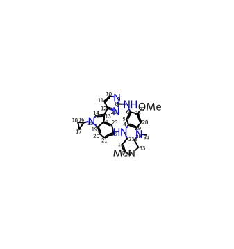 C=CCNc1cc(Nc2nccc(-c3cn(C4CC4)c4ccccc34)n2)c(OC)cc1N(C)CCNC